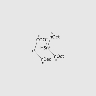 CCCCCCCCCCCC(=O)[O-].CCCCCCC[CH2][SnH+][CH2]CCCCCCC